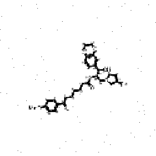 COc1ccc(C(=O)CCCCCC(=O)NC(CN2CCC(F)C2)[C@H](O)c2ccc3c(c2)OCCO3)cc1